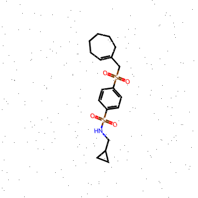 O=S(=O)(CC1=CCCCCC1)c1ccc(S(=O)(=O)NCC2CC2)cc1